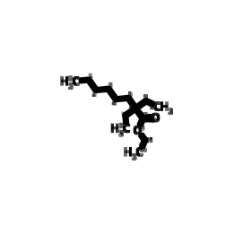 CCCCCCC(CC)(CC)C(=O)OCC